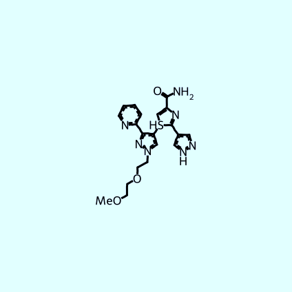 COCCOCCn1cc([SH]2C=C(C(N)=O)N=C2c2cn[nH]c2)c(-c2ccccn2)n1